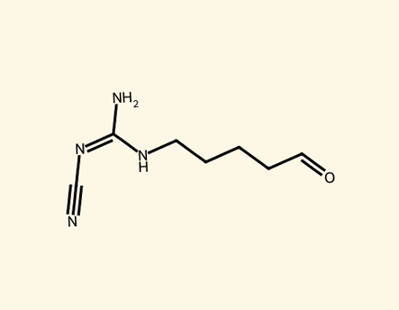 N#CN=C(N)NCCCCC=O